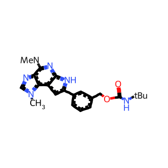 CNc1nc2[nH]c(-c3cccc(COC(=O)NC(C)(C)C)c3)cc2c2c1ncn2C